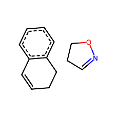 C1=Cc2ccccc2CC1.C1=NOCC1